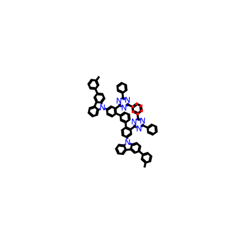 Cc1cccc(-c2ccc3c(c2)c2ccccc2n3-c2ccc(-c3cccc(-c4ccc(-n5c6ccccc6c6cc(-c7cccc(C)c7)ccc65)cc4-c4nc(-c5ccccc5)nc(-c5ccccc5)n4)c3)c(-c3nc(-c4ccccc4)nc(-c4ccccc4)n3)c2)c1